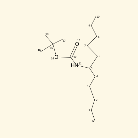 CCCCCC(CCCCC)NC(=O)OC(C)(C)C